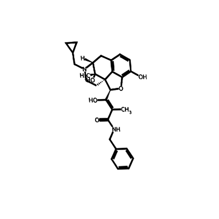 C/C(C(=O)NCc1ccccc1)=C(/O)[C@@H]1Oc2c(O)ccc3c2[C@@]12CCN(CC1CC1)[C@H](C3)[C@@]2(C)O